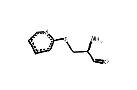 NC(C=O)CSc1ccccn1